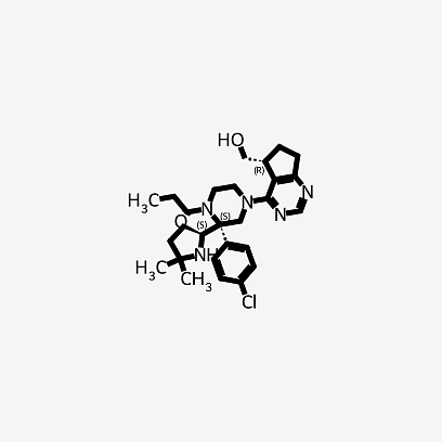 CCC(=O)N1CCN(c2ncnc3c2[C@H](CO)CC3)C[C@@]1(c1ccc(Cl)cc1)[C@@H]1CCC(C)(C)N1